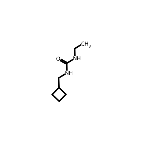 CCNC(=O)NCC1CCC1